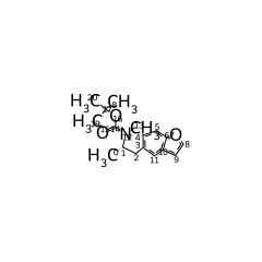 C[C@@H](Cc1ccc2occc2c1)N(C)C(=O)OC(C)(C)C